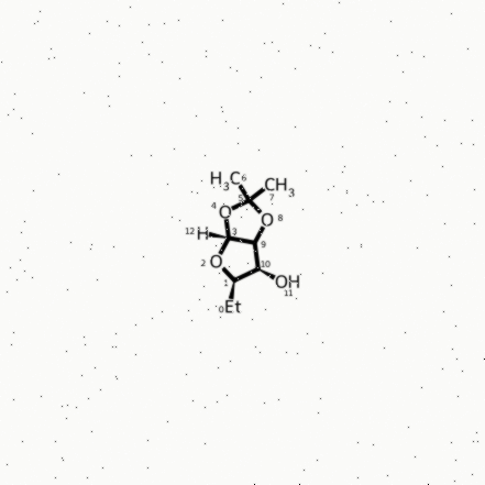 CC[C@H]1O[C@@H]2OC(C)(C)OC2[C@H]1O